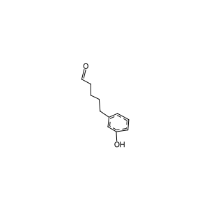 O=CCCCCc1cccc(O)c1